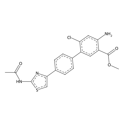 COC(=O)c1cc(-c2ccc(-c3csc(NC(C)=O)n3)cc2)c(Cl)cc1N